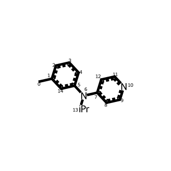 Cc1cccc(N(c2ccncc2)C(C)C)c1